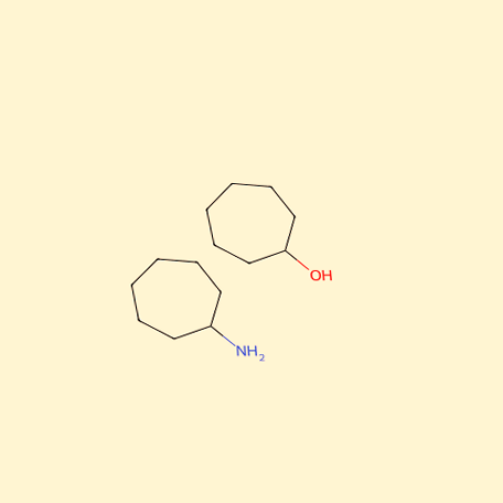 NC1CCCCCC1.OC1CCCCCC1